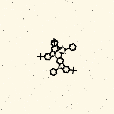 CC(C)(C)c1ccc2c(c1)c1cc(-c3nc(-c4ccccc4)nc(-c4ccccc4)n3)c(-n3c4ccc(C(C)(C)C)cc4c4cc(C(C)(C)C)ccc43)cc1n2-c1ccccc1